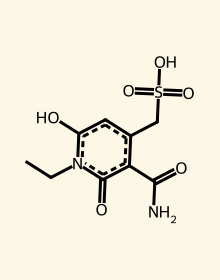 CCn1c(O)cc(CS(=O)(=O)O)c(C(N)=O)c1=O